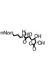 CCCCCCCCCCCCNC(=O)[C@H](O)[C@H]1OC(=O)[C@@H](O)[C@H]1O